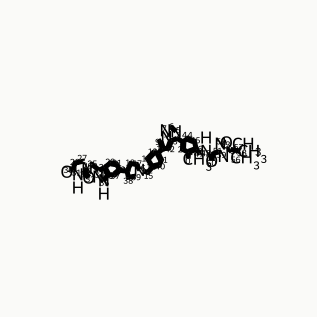 Cc1cc(-c2ncnn3cc(-c4ccc(CN5CCC(c6ccc7c(CN8CCC(=O)NC8=O)n[nH]c7c6)CC5)cc4)cc23)ccc1CNC(=O)c1noc(C(C)(C)C)n1